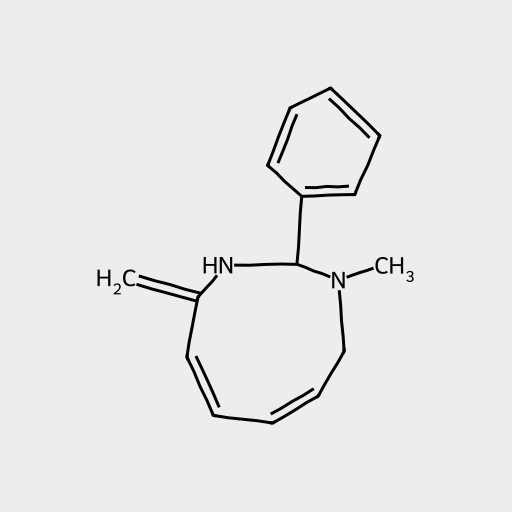 C=C1/C=C\C=C/CN(C)C(c2ccccc2)N1